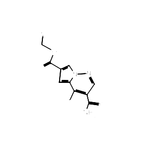 CCOC(=O)c1cc2c(Cl)c(C(N)=O)cnn2c1